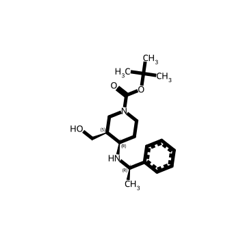 C[C@@H](N[C@@H]1CCN(C(=O)OC(C)(C)C)C[C@@H]1CO)c1ccccc1